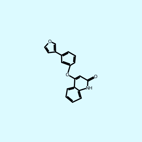 O=c1cc(Oc2cccc(-c3ccoc3)c2)c2ccccc2[nH]1